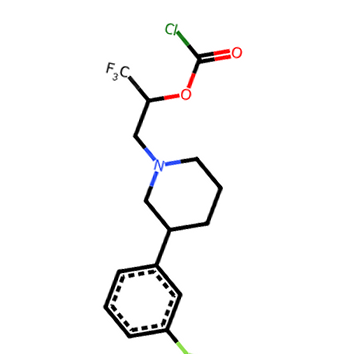 O=C(Cl)OC(CN1CCCC(c2cccc(F)c2)C1)C(F)(F)F